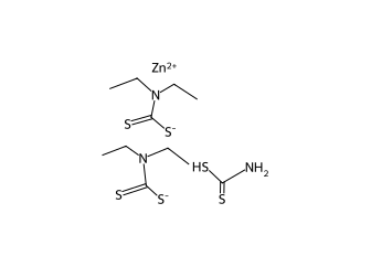 CCN(CC)C(=S)[S-].CCN(CC)C(=S)[S-].NC(=S)S.[Zn+2]